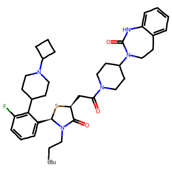 CC(C)(C)CCN1C(=O)[C@H](CC(=O)N2CCC(N3CCc4ccccc4NC3=O)CC2)S[C@@H]1c1cccc(F)c1C1CCN(C2CCC2)CC1